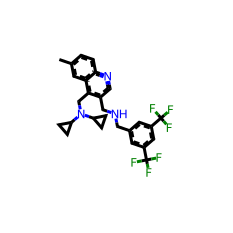 Cc1ccc2ncc(CNCc3cc(C(F)(F)F)cc(C(F)(F)F)c3)c(CN(C3CC3)C3CC3)c2c1